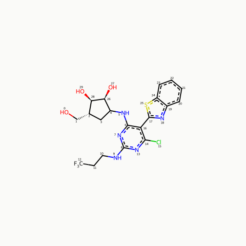 OC[C@H]1CC(Nc2nc(NCCC(F)(F)F)nc(Cl)c2-c2nc3ccccc3s2)[C@H](O)[C@@H]1O